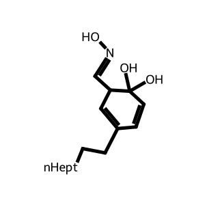 CCCCCCCCCC1=CC(C=NO)C(O)(O)C=C1